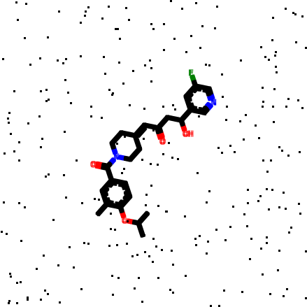 Cc1cc(C(=O)N2CCC(=CC(=O)CC(O)c3cncc(F)c3)CC2)ccc1OC(C)C